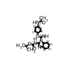 CC(=O)Nc1ccc(OC(=N)n2c(NC(=O)OC(C)C)nc3ccccc32)cc1